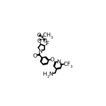 CS(=O)(=O)O[C@@H]1CN(C(=O)c2cccc(Oc3cc(CN)cc(C(F)(F)F)n3)c2)C[C@H]1F